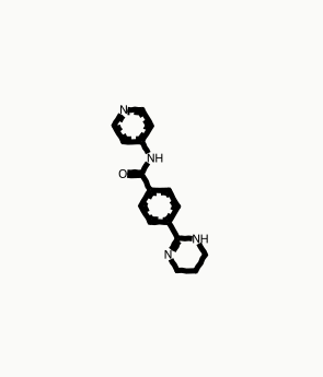 O=C(Nc1ccncc1)c1ccc(C2=NCCCN2)cc1